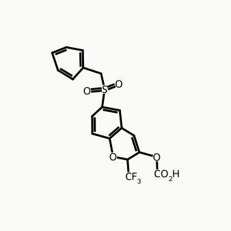 O=C(O)OC1=Cc2cc(S(=O)(=O)Cc3ccccc3)ccc2OC1C(F)(F)F